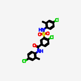 Cc1cc(Cl)ccc1NC(=O)c1ccc(Cl)c(S(=O)(=O)Nc2ccc(Cl)cc2C)c1